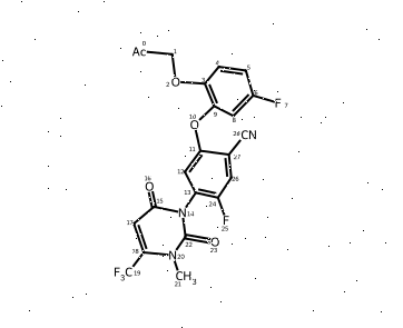 CC(=O)COc1ccc(F)cc1Oc1cc(-n2c(=O)cc(C(F)(F)F)n(C)c2=O)c(F)cc1C#N